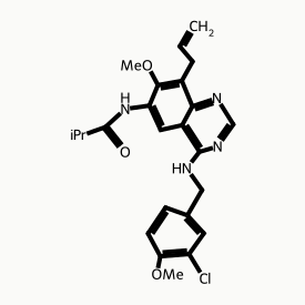 C=CCc1c(OC)c(NC(=O)C(C)C)cc2c(NCc3ccc(OC)c(Cl)c3)ncnc12